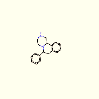 c1ccc(C2Cc3ccccc3C3CNCCN23)cc1